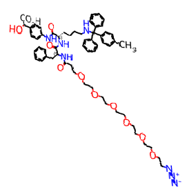 Cc1ccc(C(NCCCC[C@H](NC(=O)[C@H](Cc2ccccc2)NC(=O)CCOCCOCCOCCOCCOCCOCCN=[N+]=[N-])C(=O)Nc2ccc(C(O)C(=O)O)cc2)(c2ccccc2)c2ccccc2)cc1